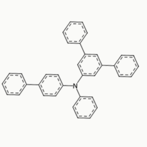 c1ccc(-c2ccc(N(c3ccccc3)c3cc(-c4ccccc4)cc(-c4ccccc4)c3)cc2)cc1